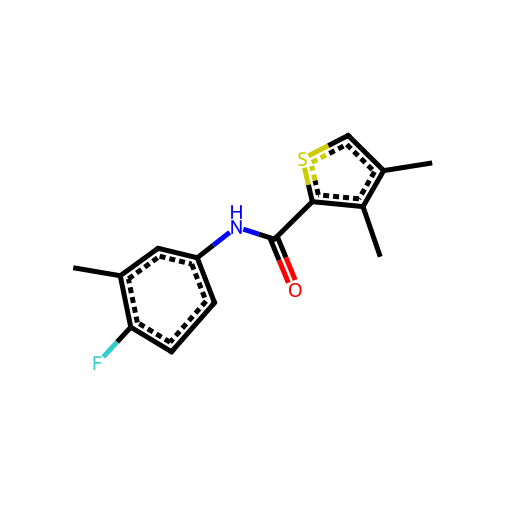 Cc1cc(NC(=O)c2scc(C)c2C)ccc1F